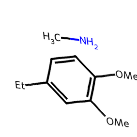 CCc1ccc(OC)c(OC)c1.CN